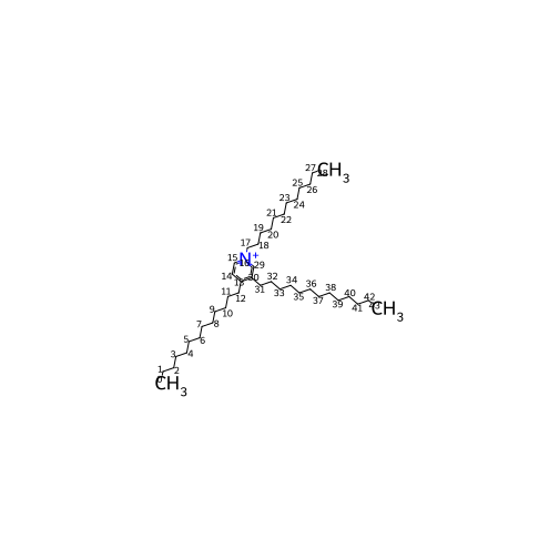 CCCCCCCCCCCCCc1cc[n+](CCCCCCCCCCCC)cc1CCCCCCCCCCCCC